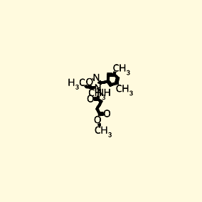 CCOC(=O)CCC(=O)NN1C(c2cc(C)cc(C)c2)=NOC1(C)CC